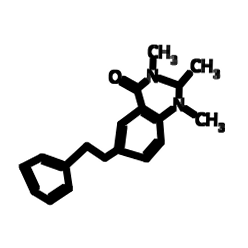 CC1N(C)C(=O)c2cc(CCc3ccccc3)ccc2N1C